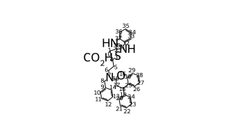 O=C(O)CC1(SCCCN(Cc2ccccc2)C(=O)CC(c2ccccc2)c2ccccc2)Nc2ccccc2N1